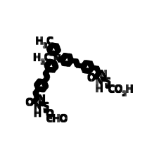 Cc1ccc(N(c2ccc(/C=C/c3ccc(/C=C4\N=C(SCOC=O)NC4=O)cc3)cc2)c2ccc(/C=C/c3ccc(CC4N=C(SCC(=O)O)NC4=O)cc3)cc2)c(C)c1